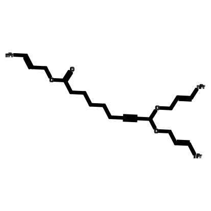 CCC/C=C/COC(=O)CCCCCC#CC(OC/C=C/CCC)OC/C=C/CCC